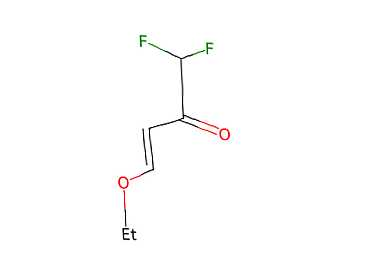 CCOC=CC(=O)C(F)F